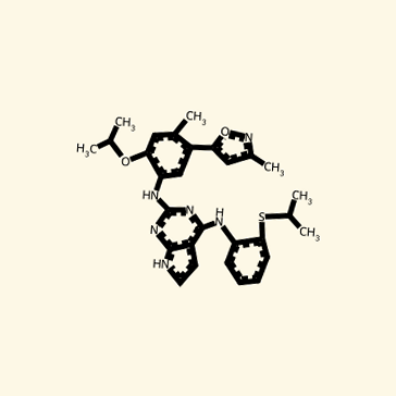 Cc1cc(-c2cc(Nc3nc(Nc4ccccc4SC(C)C)c4cc[nH]c4n3)c(OC(C)C)cc2C)on1